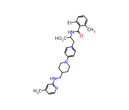 CCc1cccc(C)c1C(=O)NC(Cc1ccc(N2CCC(CNc3cc(C)ccn3)CC2)cc1)C(=O)O